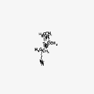 CC1(C)NC(=O)N(CCC[N+](C)(C)Cc2cn(CC[N+](C)(C)CCCCCCN=[N+]=[N-])nn2)C1=O